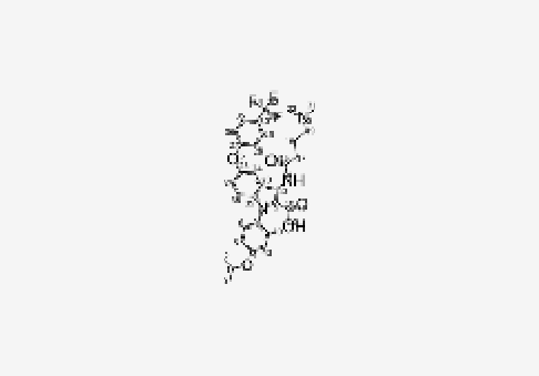 CC(C)Oc1ccc(-n2c(C(=O)O)c(NC(=O)CCCN(C)C)c3cc(Oc4ccc(C(F)(F)F)cc4)ccc32)cc1